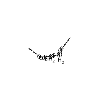 CCCCCCCCCCCCOCOC1CCC(C)[SiH2]N(CCCSSSSCCCN2CCC(OCOCCCCCCCCCCCC)CCC(C)[SiH2]2)CC1